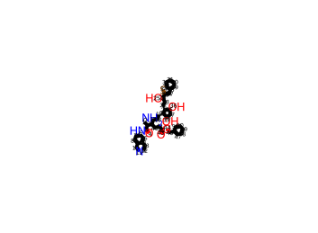 NCC(C(=O)Nc1ccc2cnccc2c1)C(CCC[C@@H]1[C@@H](CCC(O)c2cc3ccccc3s2)[C@H](O)C[C@@H]1O)CCC(=O)OCc1ccccc1